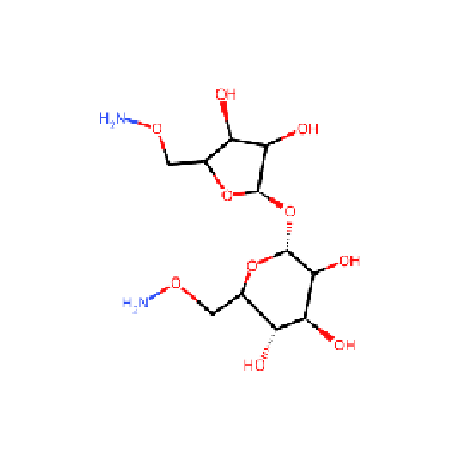 NOCC1O[C@H](O[C@H]2OC(CON)[C@@H](O)[C@H](O)C2O)C(O)[C@@H]1O